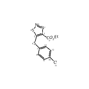 CCOC(=O)c1nnsc1Sc1ccc(Cl)cc1